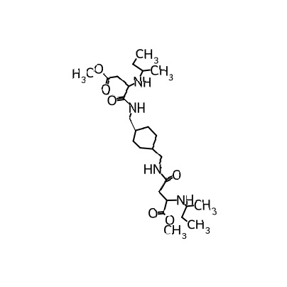 CCC(C)NC(CC(=O)OC)C(=O)NCC1CCC(CNC(=O)CC(NC(C)CC)C(=O)OC)CC1